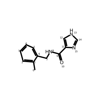 Cc1ccccc1CNC(=O)c1c[nH]cn1